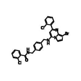 O=C(NCc1ccc(CNc2cc(-c3ccccc3Cl)nc3c(Br)ccn23)cc1)c1ccccc1Cl